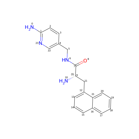 Nc1ccc(CNC(=O)[C@@H](N)Cc2cccc3ccccc23)cn1